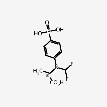 C[C@@H](C(=O)O)N(c1ccc(P(=O)(O)O)cc1)C(F)F